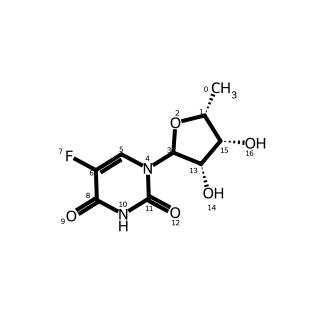 C[C@H]1OC(n2cc(F)c(=O)[nH]c2=O)[C@@H](O)[C@H]1O